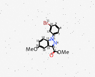 COC(=O)c1nn(-c2cccc(Br)c2)c2ccc(OC)cc12